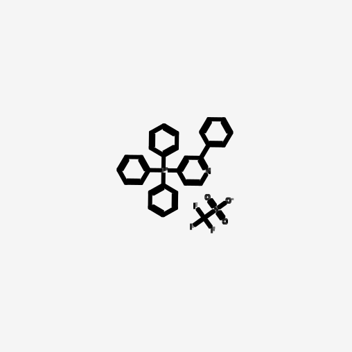 O=S(=O)([O-])C(F)(F)F.c1ccc(-c2cc([P+](c3ccccc3)(c3ccccc3)c3ccccc3)ccn2)cc1